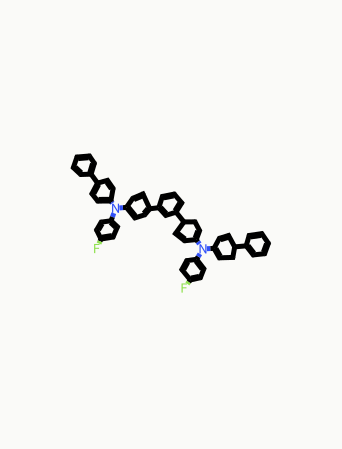 Fc1ccc(N(C2=CCC(c3ccccc3)C=C2)C2=CCC(c3cccc(-c4ccc(N(c5ccc(F)cc5)c5ccc(-c6ccccc6)cc5)cc4)c3)C=C2)cc1